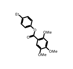 CCc1ccc(OC(=O)c2cc(OC)c(OC)cc2OC)cc1